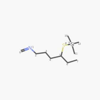 C=NCCCC(CC)S[Si](C)(C)C